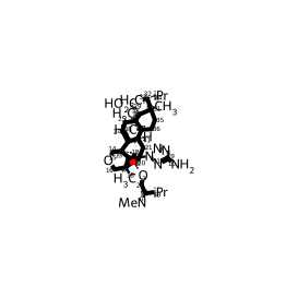 CN[C@@H](CO[C@H]1[C@H](n2nnc(N)n2)C[C@@]23COC[C@]1(C)[C@@H]2CC[C@H]1C3=CC[C@@]2(C)[C@H](C(=O)O)[C@@](C)([C@H](C)C(C)C)CC[C@]12C)C(C)C